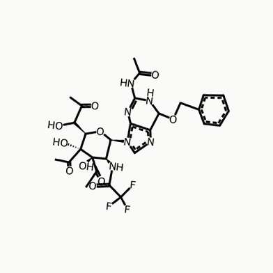 CC(=O)NC1=Nc2c(ncn2[C@@H]2O[C@H](C(O)C(C)=O)[C@](O)(C(C)=O)[C@@](O)(C(C)=O)[C@@H]2NC(=O)C(F)(F)F)C(OCc2ccccc2)N1